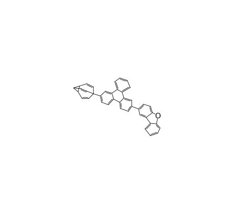 C1=CC2(c3ccc4c5ccc(-c6ccc7oc8ccccc8c7c6)cc5c5ccccc5c4c3)C=CC3C1C3C=C2